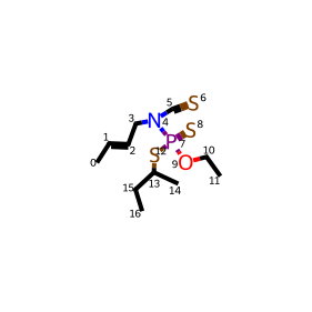 CC=CCN(C=S)P(=S)(OCC)SC(C)CC